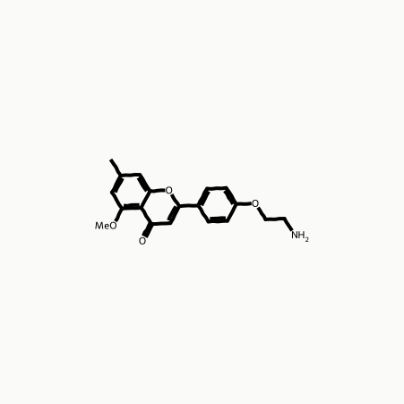 COc1cc(C)cc2oc(-c3ccc(OCCN)cc3)cc(=O)c12